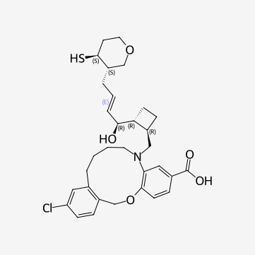 O=C(O)c1ccc2c(c1)N(C[C@@H]1CC[C@H]1[C@@H](O)/C=C/C[C@H]1COCC[C@@H]1S)CCCCc1cc(Cl)ccc1CO2